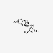 CC(=O)N1CCC(Nc2nc(Nc3cc(C)cc(C)c3)n[nH]2)CC1